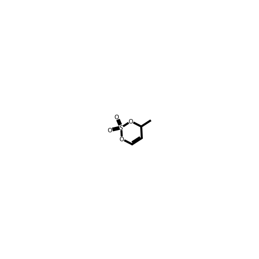 CC1C=COS(=O)(=O)O1